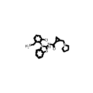 NCc1cccc(Cl)c1N1c2ccccc2SC1NC(=O)C1CC1CN1CCCC1